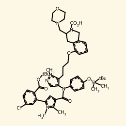 Cc1c(C(=O)N(c2ccc(O[Si](C)(C)C(C)(C)C)cc2)c2cnn(C)c2CCCOc2cccc3c2CC(CN2CCOCC2)N(C(=O)O)C3)cc(-c2cc(Cl)ccc2C(=O)OC(C)(C)C)n1C